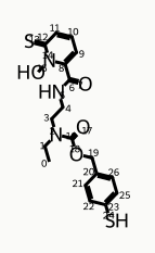 CCN(CCNC(=O)c1cccc(=S)n1O)C(=O)OCc1ccc(S)cc1